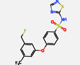 O=S(=O)(Nc1ncns1)c1ccc(Oc2cc(CF)cc(C(F)(F)F)c2)cc1